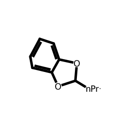 CC[CH]C1Oc2ccccc2O1